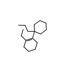 CCCC1(C2=C(CC)CCCC2)CCCCC1